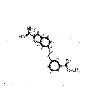 COC(=O)c1cccc(COc2ccc3cc(C(=N)N)sc3c2)c1